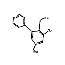 CCCCOc1c(Br)cc(C(C)(C)C)cc1-c1ccccc1